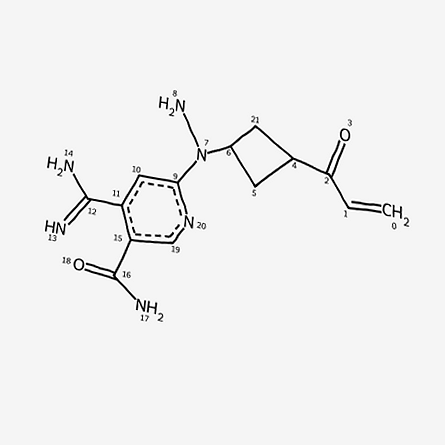 C=CC(=O)C1CC(N(N)c2cc(C(=N)N)c(C(N)=O)cn2)C1